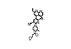 C=Cc1cc(-c2cc(C#N)c(N3CCN(C(=O)CCOC)C(C)C3)nc2C2CC2)c2cccnc2n1